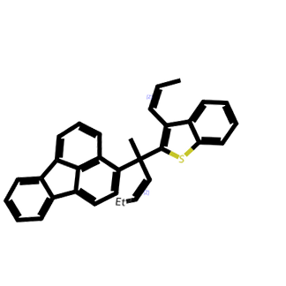 C/C=C\c1c(C(C)(/C=C\CC)c2ccc3c4c(cccc24)-c2ccccc2-3)sc2ccccc12